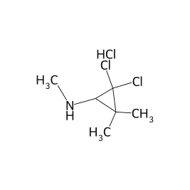 CNC1C(C)(C)C1(Cl)Cl.Cl